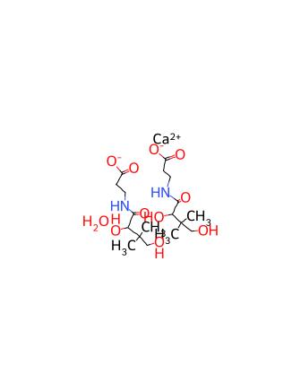 CC(C)(CO)C(O)C(=O)NCCC(=O)[O-].CC(C)(CO)C(O)C(=O)NCCC(=O)[O-].O.[Ca+2]